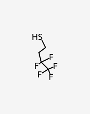 FC(F)(F)C(F)(F)CCS